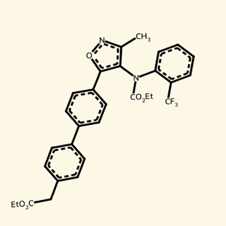 CCOC(=O)Cc1ccc(-c2ccc(-c3onc(C)c3N(C(=O)OCC)c3ccccc3C(F)(F)F)cc2)cc1